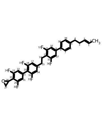 C/C=C/CCc1ccc(-c2cc(F)c(CCc3cc(F)c(-c4cc(F)c(C5CO5)c(F)c4)c(F)c3)c(F)c2)cc1